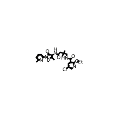 CCOc1ncc(Cl)cc1C(=O)NCC(C)(C)CC(=O)Nc1c(C)n(C)n(-c2cccc(C)n2)c1=O